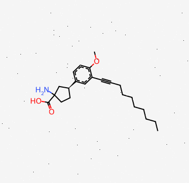 CCCCCCCCC#Cc1cc([C@H]2CCC(N)(C(=O)O)C2)ccc1OC